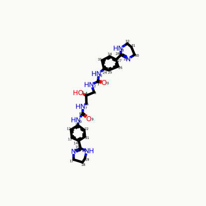 O=C(NCC(O)CNC(=O)Nc1ccc(C2=NCCCN2)cc1)Nc1ccc(C2=NCCCN2)cc1